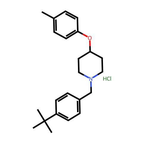 Cc1ccc(OC2CCN(Cc3ccc(C(C)(C)C)cc3)CC2)cc1.Cl